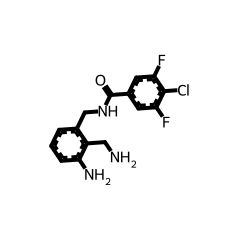 NCc1c(N)cccc1CNC(=O)c1cc(F)c(Cl)c(F)c1